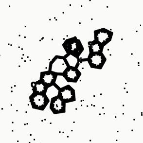 c1ccc(C2CCc3cc4oc5ccccc5c4c(-c4cccc5ccccc45)c3-c3cccc(N(c4ccccc4)c4cccc5c4sc4ccccc45)c32)cc1